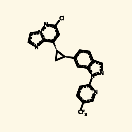 FC(F)(F)c1ccc(-n2ncc3ccc([C@H]4C[C@@H]4c4cc(Cl)nn5ccnc45)cc32)nc1